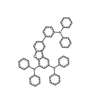 c1ccc(N(c2ccccc2)c2cccc(-c3ccc4sc5c(N(c6ccccc6)c6ccccc6)cc(N(c6ccccc6)c6ccccc6)cc5c4c3)c2)cc1